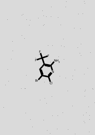 Nc1nc(Cl)c(Br)cc1C(F)(F)F